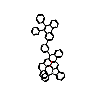 c1ccc(-c2c(-c3ccccc3)c3cc(-c4cccc(N(c5ccc6c(ccc7ccccc76)c5)c5ccccc5-c5ccc6c(c5)c5ccccc5n6-c5ccccc5)c4)ccc3c3ccccc23)cc1